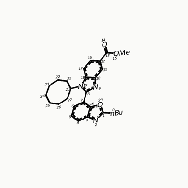 CCCCc1nc2cccc(-c3nc4cc(C(=O)OC)ccc4n3C3CCCCCCC3)c2o1